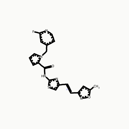 Cc1cc(/C=C/c2csc(NC(=O)c3cccn3Cc3ccnc(F)c3)n2)no1